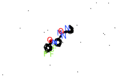 O=C(c1ccc(F)c(F)c1F)N1CCC[C@H](c2noc(-c3ccccn3)n2)C1